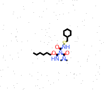 CCCCCCOC(=N)N(C(=O)NSCC1CCCCC1)C(=O)N(C)C